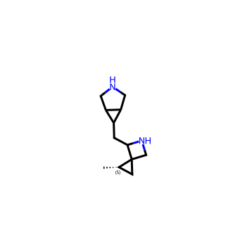 C[C@H]1CC12CNC2CC1C2CNCC21